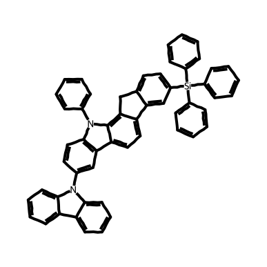 c1ccc(-n2c3ccc(-n4c5ccccc5c5ccccc54)cc3c3ccc4c(c32)Cc2ccc([Si](c3ccccc3)(c3ccccc3)c3ccccc3)cc2-4)cc1